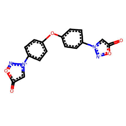 O=c1c[n+](-c2ccc(Oc3ccc(-[n+]4cc(=O)o[n-]4)cc3)cc2)[n-]o1